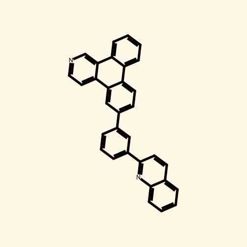 c1cc(-c2ccc3c4ccccc4c4cnccc4c3c2)cc(-c2ccc3ccccc3n2)c1